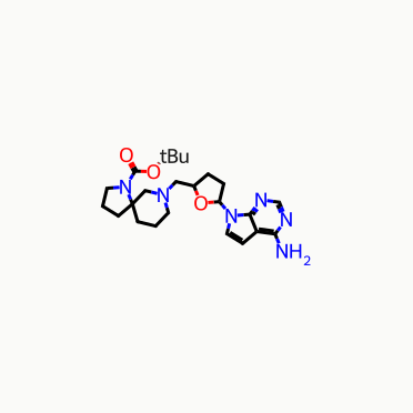 CC(C)(C)OC(=O)N1CCCC12CCCN(CC1CCC(n3ccc4c(N)ncnc43)O1)C2